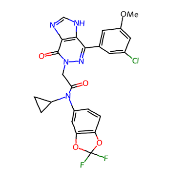 COc1cc(Cl)cc(-c2nn(CC(=O)N(c3ccc4c(c3)OC(F)(F)O4)C3CC3)c(=O)c3nc[nH]c23)c1